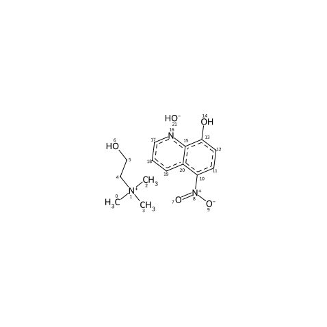 C[N+](C)(C)CCO.O=[N+]([O-])c1ccc(O)c2ncccc12.[OH-]